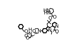 CCn1c(-c2cccnc2[C@H](C)OC)c(CC(C)(C)COC(=O)C2CCCNN2)c2cc(N3CCO[C@@H](C[C@@H](C=O)NC(=O)OCc4ccccc4)C3)ccc21